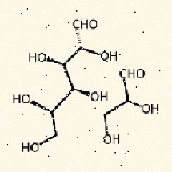 O=CC(O)CO.O=C[C@H](O)[C@H](O)[C@@H](O)[C@H](O)CO